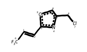 FC(F)(F)/C=C/c1nc(CCl)co1